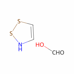 C1=CSSN1.O=CO